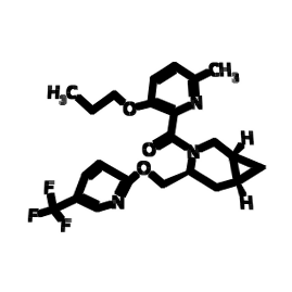 CCCOc1ccc(C)nc1C(=O)N1C[C@@H]2C[C@@H]2C[C@H]1COc1ccc(C(F)(F)F)cn1